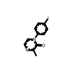 Cc1nccn(-c2ccc(I)cc2)c1=O